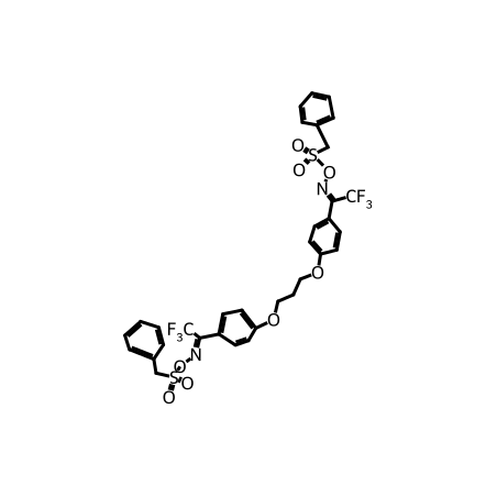 O=S(=O)(Cc1ccccc1)ON=C(c1ccc(OCCCOc2ccc(C(=NOS(=O)(=O)Cc3ccccc3)C(F)(F)F)cc2)cc1)C(F)(F)F